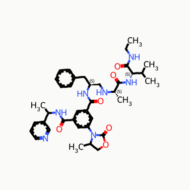 CCNC(=O)[C@@H](NC(=O)[C@H](C)NC[C@H](Cc1ccccc1)NC(=O)c1cc(C(=O)NC(C)c2cccnc2)cc(N2C(=O)OCC2C)c1)C(C)C